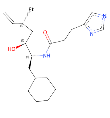 C=C[C@H](CC)C[C@H](O)[C@H](CC1CCCCC1)NC(=O)CCc1c[nH]cn1